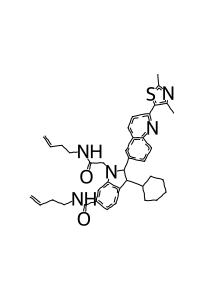 C=CCCNC(=O)CN1c2cc(C(=O)NCCC=C)ccc2C(C2CCCCC2)C1c1ccc2nc(-c3sc(C)nc3C)ccc2c1